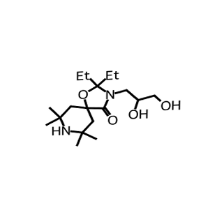 CCC1(CC)OC2(CC(C)(C)NC(C)(C)C2)C(=O)N1CC(O)CO